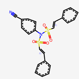 N#Cc1ccc(N(S(=O)(=O)/C=C/c2ccccc2)S(=O)(=O)/C=C/c2ccccc2)cc1